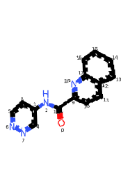 O=C(Nc1ccnnc1)c1ccc2ccccc2n1